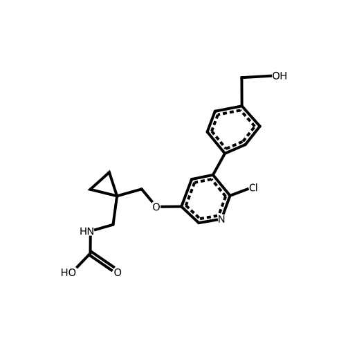 O=C(O)NCC1(COc2cnc(Cl)c(-c3ccc(CO)cc3)c2)CC1